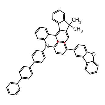 CC1(C)c2ccccc2-c2c(-c3ccccc3N(c3ccc(-c4ccc(-c5ccccc5)cc4)cc3)c3ccc(-c4ccc5oc6ccccc6c5c4)cc3)cccc21